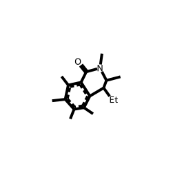 CCC1c2c(C)c(C)c(C)c(C)c2C(=O)N(C)C1C